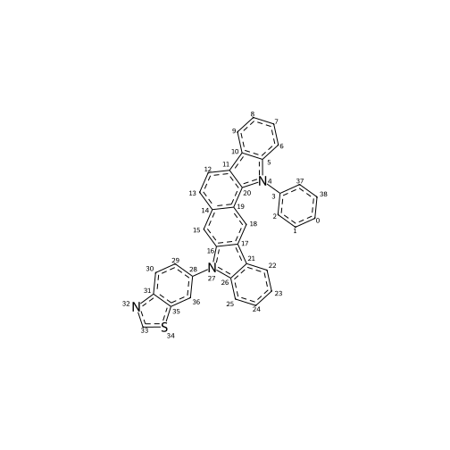 c1ccc(-n2c3ccccc3c3ccc4cc5c(cc4c32)c2ccccc2n5-c2ccc3ncsc3c2)cc1